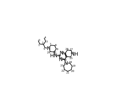 CCC(CC)CN1CCCC(Nc2nc3c(c(N4CCCCCC4)n2)CNCC3)C1